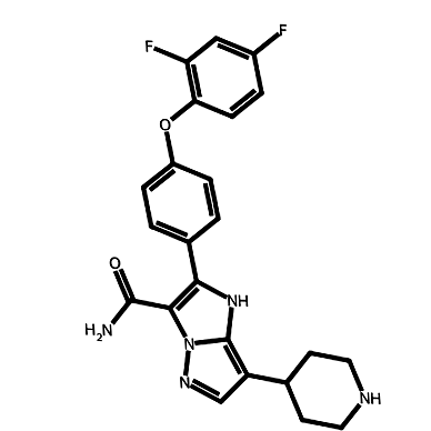 NC(=O)c1c(-c2ccc(Oc3ccc(F)cc3F)cc2)[nH]c2c(C3CCNCC3)cnn12